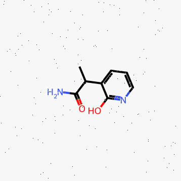 C[C](C(N)=O)c1cccnc1O